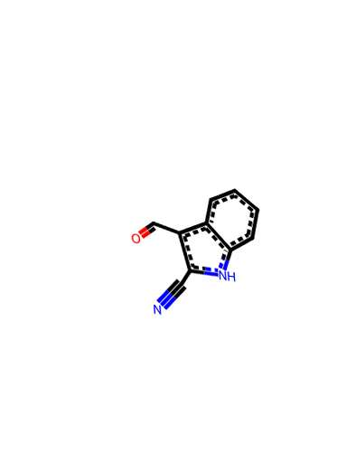 N#Cc1[nH]c2ccccc2c1C=O